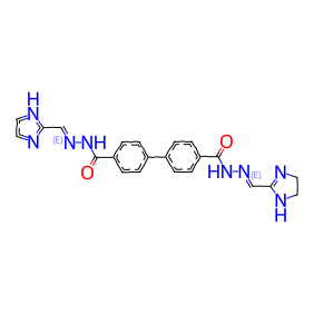 O=C(N/N=C/C1=NCCN1)c1ccc(-c2ccc(C(=O)N/N=C/c3ncc[nH]3)cc2)cc1